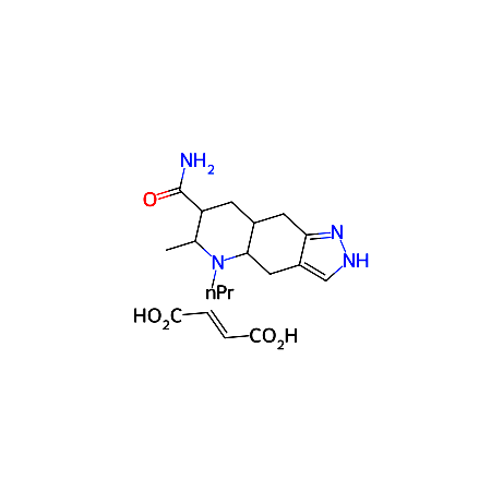 CCCN1C(C)C(C(N)=O)CC2Cc3n[nH]cc3CC21.O=C(O)/C=C/C(=O)O